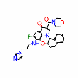 O=C(c1cn2c3c(c(NCCCn4ccnc4)c(F)cc3c1=O)Oc1ccc3ccccc3c1-2)N1CCOCC1